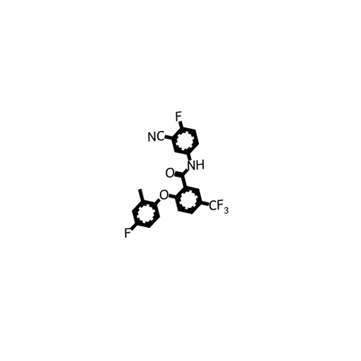 Cc1cc(F)ccc1Oc1ccc(C(F)(F)F)cc1C(=O)Nc1ccc(F)c(C#N)c1